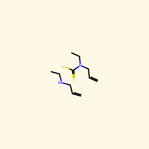 C=CCN(CC)C(=S)S.C=CCNCC